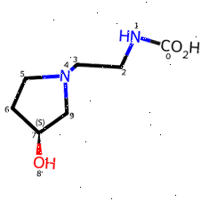 O=C(O)NCCN1CC[C@H](O)C1